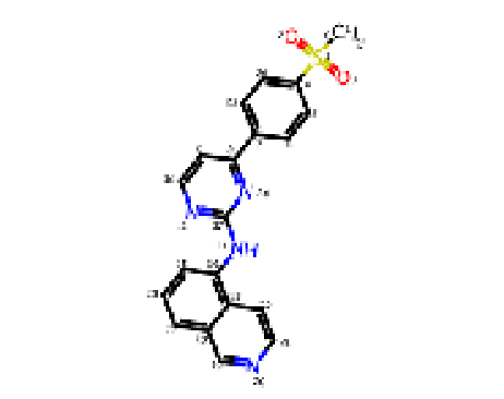 CS(=O)(=O)c1ccc(-c2ccnc(Nc3cccc4cnccc34)n2)cc1